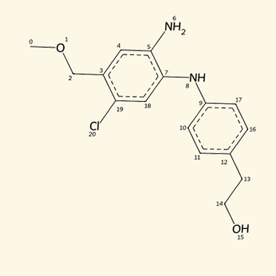 COCc1cc(N)c(Nc2ccc(CCO)cc2)cc1Cl